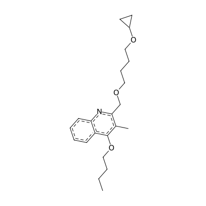 CCCCOc1c(C)c(COCCCCOC2CC2)nc2ccccc12